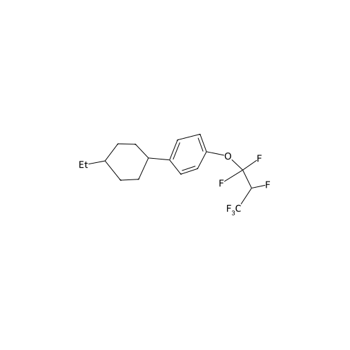 CCC1CCC(c2ccc(OC(F)(F)C(F)C(F)(F)F)cc2)CC1